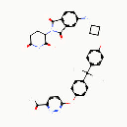 CC(=O)c1ccc(Oc2ccc(C(C)(C)c3ccc(O[C@H]4C[C@H](Nc5ccc6c(c5)C(=O)N(C5CCC(=O)NC5=O)C6=O)C4)cc3)cc2)nn1